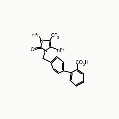 CCCc1c(C(F)(F)F)n(CCC)c(=O)n1Cc1ccc(-c2ccccc2C(=O)O)cc1